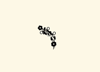 CCN1C(=O)c2cc(C(=O)N3CCN(c4ccc(F)cc4)CC3)nn2CC1(C)C(=O)NC1CCCC1